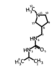 CC(C)NC(=O)NCC1CCN(C)C1